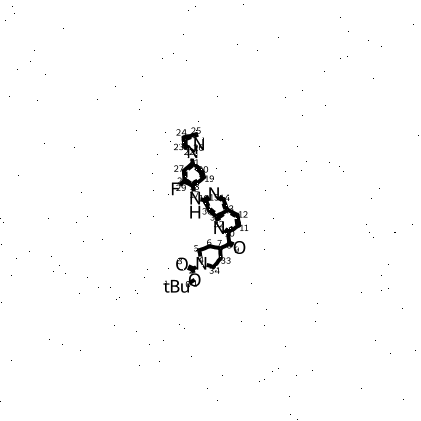 CC(C)(C)OC(=O)N1CCC(C(=O)c2ccc3cnc(Nc4ccc(-n5cccn5)cc4F)cc3n2)CC1